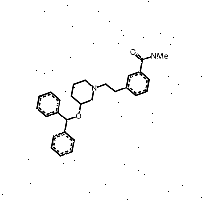 CNC(=O)c1cccc(CCN2CCCC(OC(c3ccccc3)c3ccccc3)C2)c1